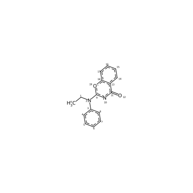 CCN(c1ccccc1)c1nc(=O)c2ccccc2o1